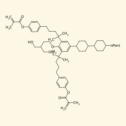 C=C(C)C(=O)Oc1ccc(CCCS(C)(C)c2cc(C3CCC(C4CCC(CCCCC)CC4)CC3)cc(S(C)(C)CCCc3ccc(OC(=O)C(=C)C)cc3)c2OCCC(CO)CO)cc1